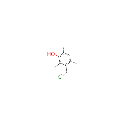 Cc1cc(C)c(CCl)c(C)c1O